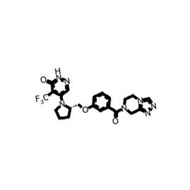 O=C(c1cccc(OC[C@@H]2CCCN2c2cn[nH]c(=O)c2C(F)(F)F)c1)N1CCn2cnnc2C1